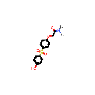 CCN(CC)C(=O)COc1ccc(S(=O)(=O)c2ccc(O)cc2)cc1